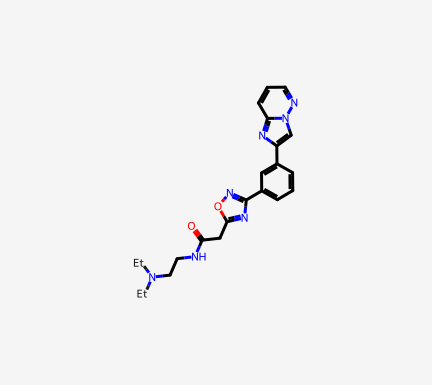 CCN(CC)CCNC(=O)Cc1nc(-c2cccc(-c3cn4ncccc4n3)c2)no1